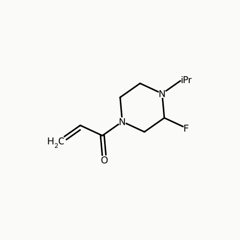 C=CC(=O)N1CCN(C(C)C)C(F)C1